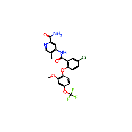 COc1cc(OC(F)(F)F)ccc1Oc1ccc(Cl)cc1C(=O)Nc1cc(C(N)=O)ncc1C